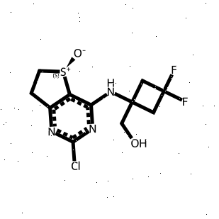 [O-][S@+]1CCc2nc(Cl)nc(NC3(CO)CC(F)(F)C3)c21